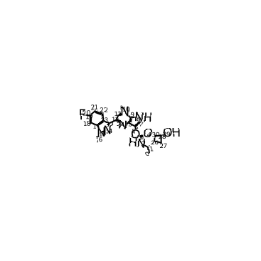 CC(NC(=O)Oc1c[nH]c2ncc(-c3nn(C)c4cc(F)ccc34)nc12)[C@H]1C[C@@H](O)C1